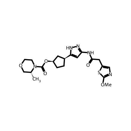 COc1ncc(CC(=O)Nc2cc([C@H]3CC[C@@H](OC(=O)N4CCOC[C@H]4C)C3)[nH]n2)s1